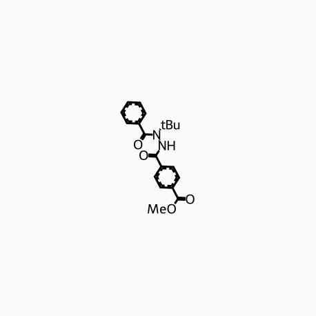 COC(=O)c1ccc(C(=O)NN(C(=O)c2ccccc2)C(C)(C)C)cc1